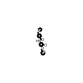 O=C(Nc1ccc(OCc2ccccn2)c(Cl)c1)c1ccc(CN2CCCC2)cc1